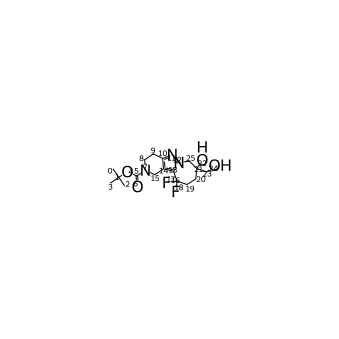 CC(C)(C)OC(=O)N1CCc2nn3c(c2C1)C(F)(F)CCC(O)(CO)C3